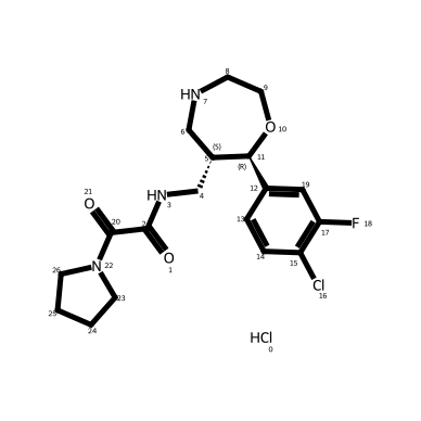 Cl.O=C(NC[C@@H]1CNCCO[C@H]1c1ccc(Cl)c(F)c1)C(=O)N1CCCC1